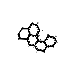 C1=Cc2cc3ccc4ccccc4c3c3cccc(c23)C1